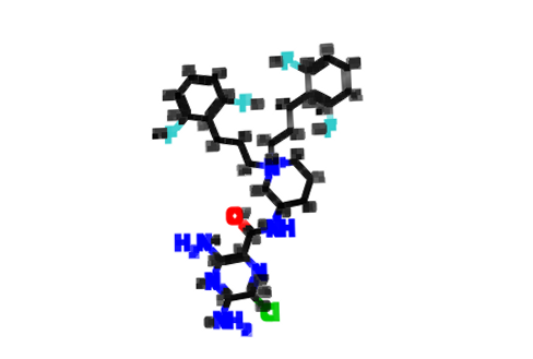 Nc1nc(N)c(C(=O)N[C@@H]2CCC[N+](CCCc3c(F)cccc3F)(CCCc3c(F)cccc3F)C2)nc1Cl